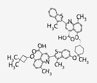 Cc1c(-c2cc(C(=O)O)c3c(OC[C@H]4CC[C@@](C)(Oc5ccc6sc(-c7cc(C(=O)O)c8c(OC9CC(C)(C)C9)ccc(C)c8n7)c(C)c6c5)CC4)ccc(C)c3n2)sc2ccccc12